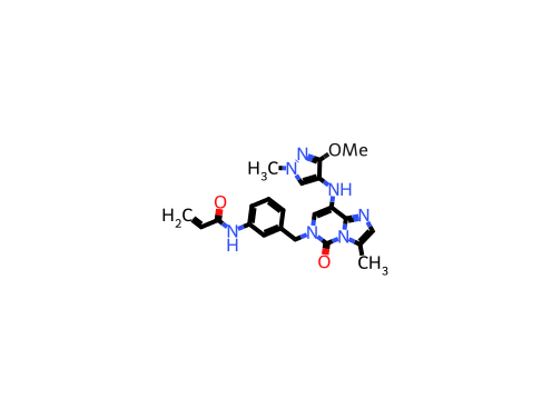 C=CC(=O)Nc1cccc(Cn2cc(Nc3cn(C)nc3OC)c3ncc(C)n3c2=O)c1